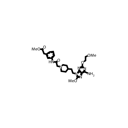 COCCOc1nc(N)c2nc(OC)n(CCC3CCN(CC(=O)Nc4cccc(CC(=O)OC)c4)CC3)c2n1